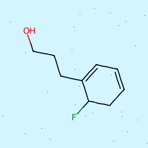 OCCCC1=CC=CCC1F